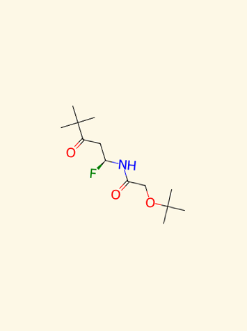 CC(C)(C)OCC(=O)N[C@@H](F)CC(=O)C(C)(C)C